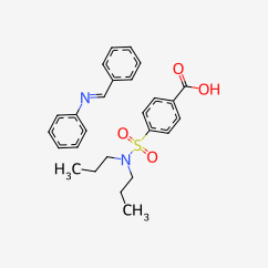 C(=N\c1ccccc1)/c1ccccc1.CCCN(CCC)S(=O)(=O)c1ccc(C(=O)O)cc1